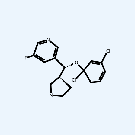 Fc1cncc([C@H](OC2(Cl)C=C(Cl)C=CC2)[C@H]2CCNC2)c1